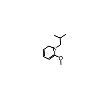 COC1=CC=CCN1CC(C)C